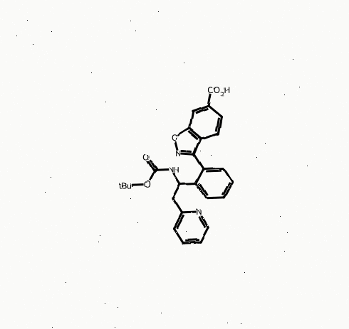 CC(C)(C)OC(=O)NC(Cc1ccccn1)c1ccccc1-c1noc2cc(C(=O)O)ccc12